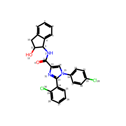 O=C(NC1c2ccccc2CC1O)c1cn(-c2ccc(Cl)cc2)c(-c2ccccc2Cl)n1